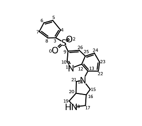 O=S(=O)(c1ccccc1)c1cnc2c(N3CC4CNCC4C3)cccc2c1